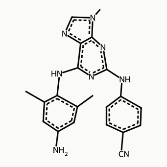 Cc1cc(N)cc(C)c1Nc1nc(Nc2ccc(C#N)cc2)nc2c1ncn2C